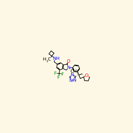 Cn1cnnc1[C@]1(c2cccc(N3Cc4c(cc(CNC5(C)CCC5)cc4C(F)(F)F)C3=O)c2)C[C@]2(CCCO2)C1